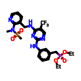 CCOP(=O)(Cc1cccc(Nc2ncc(C(F)(F)F)c(NCc3cccnc3N(C)S(C)(=O)=O)n2)c1)OCC